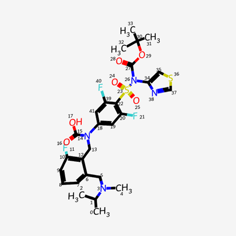 CC(C)N(C)Cc1cccc(F)c1CN(C(=O)O)c1cc(F)c(S(=O)(=O)N(C(=O)OC(C)(C)C)c2cscn2)c(F)c1